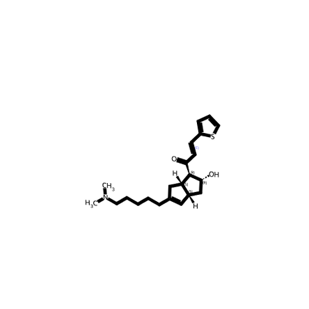 CN(C)CCCCCC1=C[C@H]2C[C@@H](O)[C@H](C(=O)/C=C/c3cccs3)[C@H]2C1